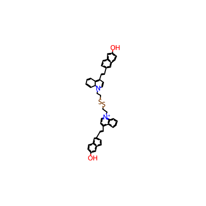 Oc1ccc2cc(/C=C/C3=C4C=CC=CC4N(CCSSCC[n+]4ccc(/C=C/c5ccc6cc(O)ccc6c5)c5ccccc54)C=C3)ccc2c1